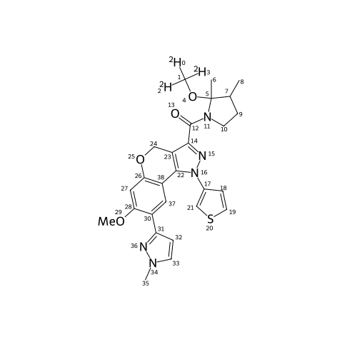 [2H]C([2H])([2H])OC1(C)C(C)CCN1C(=O)c1nn(-c2ccsc2)c2c1COc1cc(OC)c(-c3ccn(C)n3)cc1-2